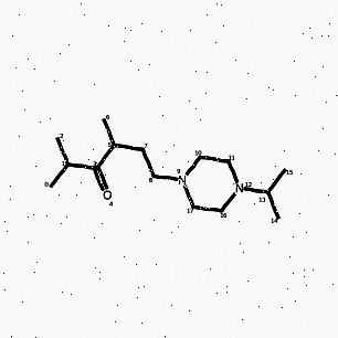 CC(C)C(=O)C(C)CCN1CCN(C(C)C)CC1